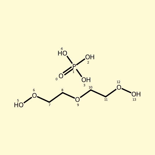 O=P(O)(O)O.OOCCOCCOO